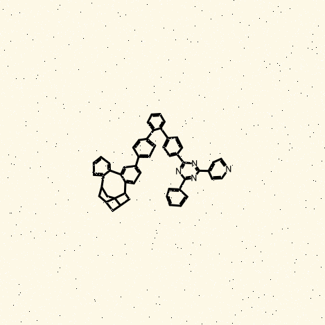 c1ccc(-c2nc(-c3ccncc3)nc(-c3ccc(-c4ccccc4-c4ccc(-c5ccc6c(c5)-c5ccccc5C5CC7CC8CC6C78C5)cc4)cc3)n2)cc1